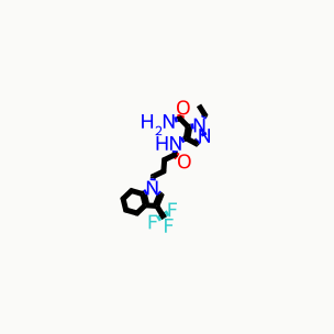 CCn1ncc(NC(=O)CCCn2cc(C(F)(F)F)c3c2CCCC3)c1C(N)=O